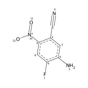 N#Cc1cc(N)c(F)cc1[N+](=O)[O-]